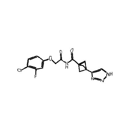 O=C(COc1ccc(Cl)c(F)c1)NC(=O)C12CC(c3c[nH]nn3)(C1)C2